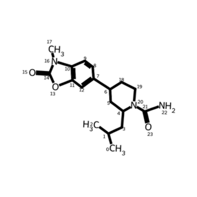 CC(C)CC1CC(c2ccc3c(c2)oc(=O)n3C)CCN1C(N)=O